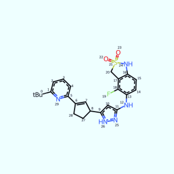 CC(C)(C)c1cccc(C2=CC(c3cc(Nc4ccc5c(c4F)CS(=O)(=O)N5)n[nH]3)CC2)n1